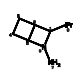 CC(C)C1C2CCC2N1N